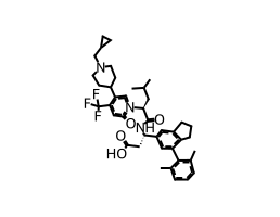 Cc1cccc(C)c1-c1cc([C@H](CC(=O)O)NC(=O)[C@H](CC(C)C)n2cc(C3CCN(CC4CC4)CC3)c(C(F)(F)F)cc2=O)cc2c1CCC2